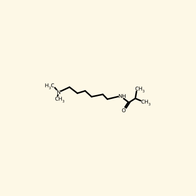 CC(C)C(=O)NCCCCCCN(C)C